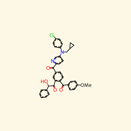 COc1ccc(C(=O)c2ccc(C(=O)c3ccc(N(CC4CC4)c4ccc(Cl)cc4)cn3)cc2C(=O)C(O)c2ccccc2)cc1